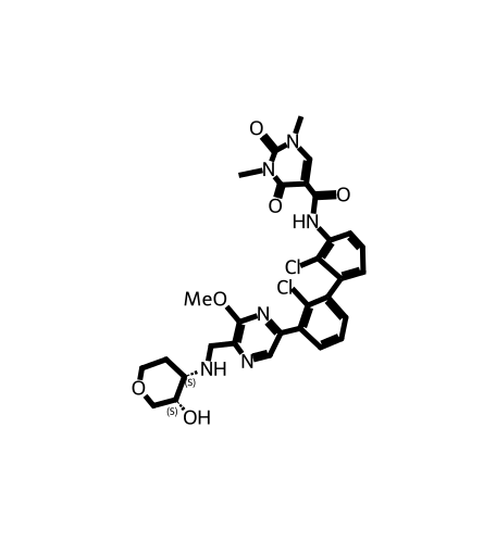 COc1nc(-c2cccc(-c3cccc(NC(=O)c4cn(C)c(=O)n(C)c4=O)c3Cl)c2Cl)cnc1CN[C@H]1CCOC[C@H]1O